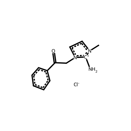 Cn1ccn(CC(=O)c2ccccc2)[c+]1N.[Cl-]